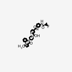 Cn1ccc(C(=O)N(c2ccccc2)C2CCN(C(O)c3cc(-c4nc5cc(NC(=O)[C@@H]6C[C@@H]6F)ccc5o4)ccn3)CC2)n1